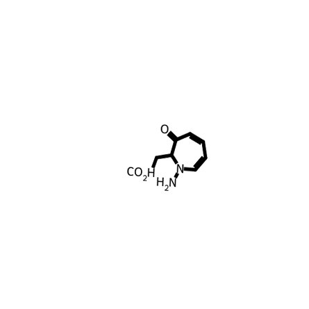 NN1C=CC=CC(=O)C1CC(=O)O